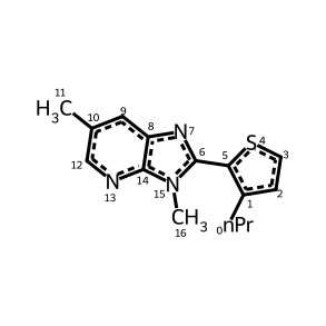 CCCc1ccsc1-c1nc2cc(C)cnc2n1C